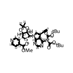 C#Cc1cn(C2S[C@H](c3cnccc3C(=O)OC)[C@H]3OC(C)(C)O[C@@H]23)c2ncnc(N(C(=O)OC(C)(C)C)C(=O)OC(C)(C)C)c12